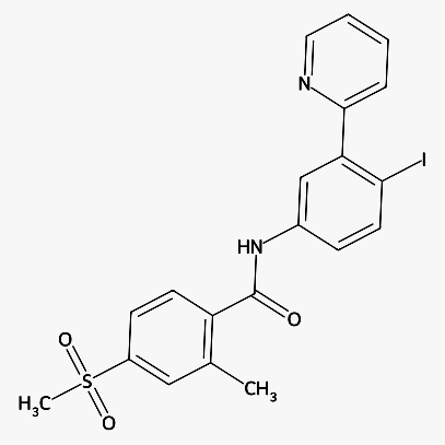 Cc1cc(S(C)(=O)=O)ccc1C(=O)Nc1ccc(I)c(-c2ccccn2)c1